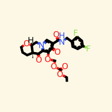 CCOC(=O)OCOc1c2n(cc(C(=O)NCc3ccc(F)cc3F)c1=O)C[C@@H]1OCCC[C@]1(C)C2=O